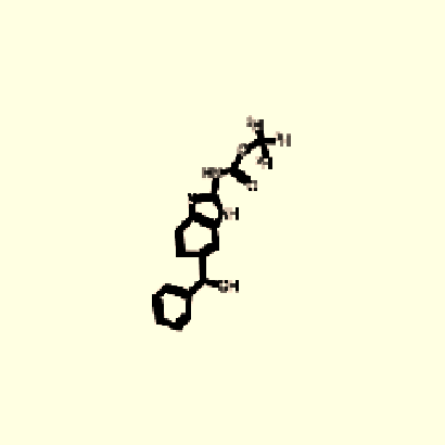 [2H]C([2H])([2H])OC(=O)Nc1nc2ccc(C(O)c3ccccc3)cc2[nH]1